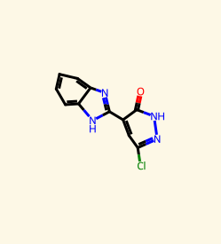 O=c1[nH]nc(Cl)cc1-c1nc2ccccc2[nH]1